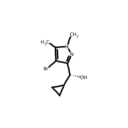 Cc1c(Br)c([C@H](O)C2CC2)nn1C